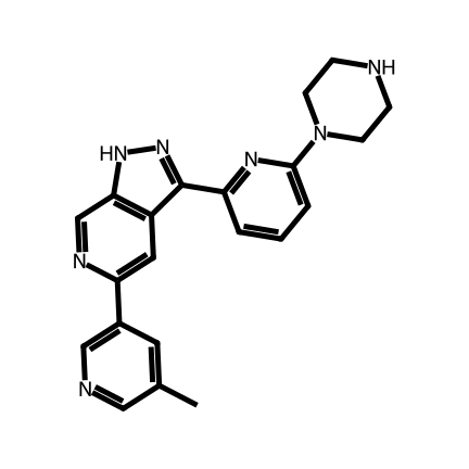 Cc1cncc(-c2cc3c(-c4cccc(N5CCNCC5)n4)n[nH]c3cn2)c1